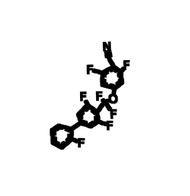 N#Cc1c(F)cc(OC(F)(F)c2c(F)cc(-c3ccccc3F)cc2F)cc1F